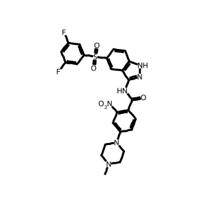 CN1CCN(c2ccc(C(=O)Nc3n[nH]c4ccc(S(=O)(=O)c5cc(F)cc(F)c5)cc34)c([N+](=O)[O-])c2)CC1